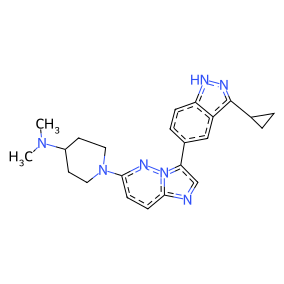 CN(C)C1CCN(c2ccc3ncc(-c4ccc5[nH]nc(C6CC6)c5c4)n3n2)CC1